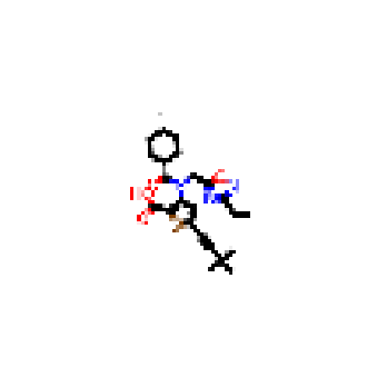 CCc1noc(CN(c2cc(C#CC(C)(C)C)sc2C(=O)O)C(=O)[C@H]2CC[C@H](C)CC2)n1